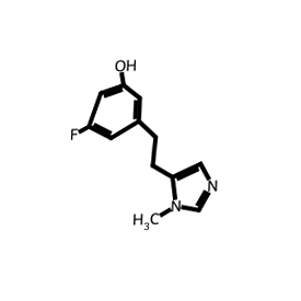 Cn1cncc1CCc1cc(O)cc(F)c1